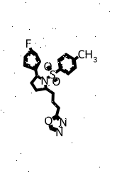 Cc1ccc(S(=O)(=O)N2C(CCCc3nnco3)CCC2c2ccc(F)cc2)cc1